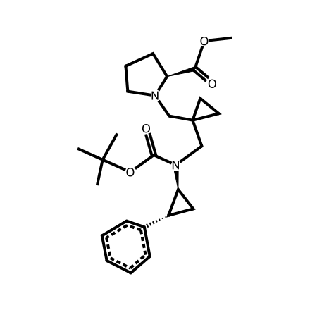 COC(=O)[C@@H]1CCCN1CC1(CN(C(=O)OC(C)(C)C)[C@H]2C[C@@H]2c2ccccc2)CC1